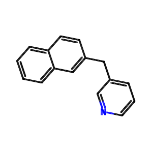 c1cncc(Cc2ccc3ccccc3c2)c1